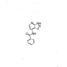 O=C(Nc1ccnc2[nH]ncc12)c1ccccc1